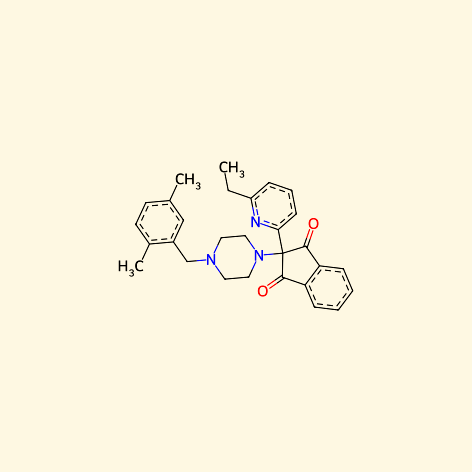 CCc1cccc(C2(N3CCN(Cc4cc(C)ccc4C)CC3)C(=O)c3ccccc3C2=O)n1